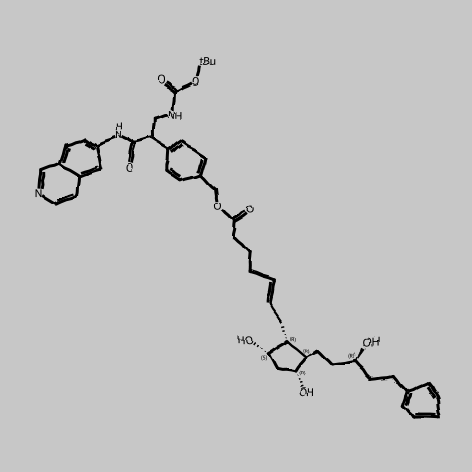 CC(C)(C)OC(=O)NCC(C(=O)Nc1ccc2cnccc2c1)c1ccc(COC(=O)CCCC=CC[C@@H]2[C@@H](CC[C@@H](O)CCc3ccccc3)[C@H](O)C[C@@H]2O)cc1